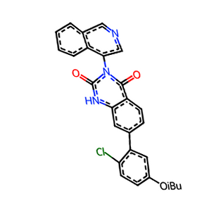 CC(C)COc1ccc(Cl)c(-c2ccc3c(=O)n(-c4cncc5ccccc45)c(=O)[nH]c3c2)c1